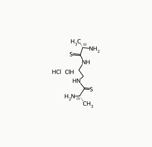 C[C@H](N)C(=S)NCCNC(=S)[C@H](C)N.Cl.Cl